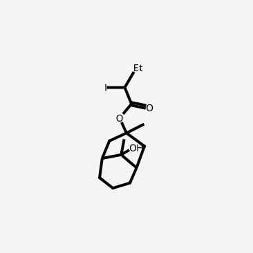 CCC(I)C(=O)OC1(C)CC2CCCC(C1)C2(C)O